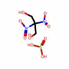 O=S(O)O.O=[N+]([O-])C(CO)(CO)[N+](=O)[O-]